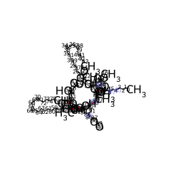 CCC/C=C/C=C/C(=O)O[C@H]1/C(=C/C(=O)OC)C[C@H]2CC(C(C)OC(=O)CCCCCCCC3CC3CC3CC3CCCCC)OC(=O)C[C@H](O)C[C@@H]3C[C@H](OC(=O)CCCCCCCC4CC4CC4CC4CCCCC)C(C)(C)[C@](O)(C[C@@H]4C/C(=C/COC=O)C[C@H](/C=C/C(C)(C)[C@]1(O)O2)O4)O3